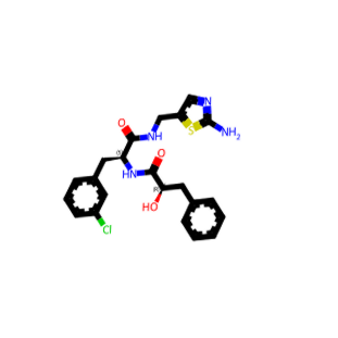 Nc1ncc(CNC(=O)[C@H](Cc2cccc(Cl)c2)NC(=O)[C@H](O)Cc2ccccc2)s1